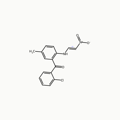 Cc1ccc(N/C=C/[N+](=O)[O-])c(C(=O)c2ccccc2Cl)c1